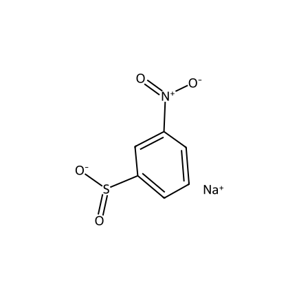 O=[N+]([O-])c1cccc(S(=O)[O-])c1.[Na+]